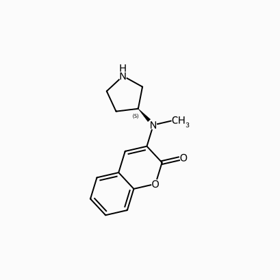 CN(c1cc2ccccc2oc1=O)[C@H]1CCNC1